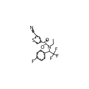 CCN(C(c1ccc(F)cc1)C(F)(F)F)S(=O)(=O)c1csc(C#N)c1